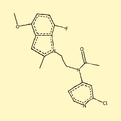 COc1ccc(F)c2c1cc(C)n2CCN(C(C)=O)c1ccnc(Cl)c1